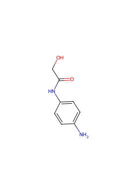 Nc1ccc(NC(=O)CO)cc1